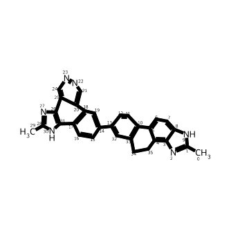 Cc1nc2c3c(ccc2[nH]1)-c1ccc(-c2ccc4c(c2)c2cnncc2c2nc(C)[nH]c42)cc1CC3